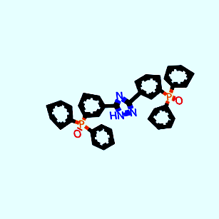 O=P(c1ccccc1)(c1ccccc1)c1cccc(-c2n[nH]c(-c3cccc(P(=O)(c4ccccc4)c4ccccc4)c3)n2)c1